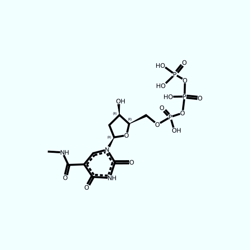 CNC(=O)c1cn([C@H]2C[C@@H](O)[C@@H](COP(=O)(O)OP(=O)(O)OP(=O)(O)O)O2)c(=O)[nH]c1=O